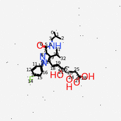 CC(C)CNC(=O)c1nn(-c2ccc(F)cc2)c(/C=C/[C@H](O)C[C@@H](O)CC(=O)O)c1C(C)C